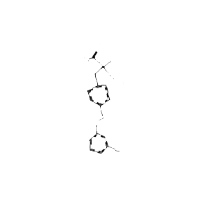 CC(N)(Cc1ccc(COc2cccc(F)c2)cc1)C(N)=O